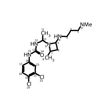 CNCCCNC1CC(C)N1C(C)NC(=O)Nc1ccc(Cl)c(Cl)c1